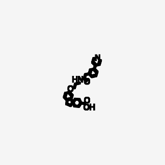 O=C(Cc1cccc(-c2ccncc2)c1)NCCCOc1ccc2c(c1)C1(CC2)CCC(C(=O)O)CC1